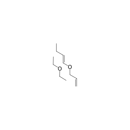 C=CCO/C=C/CC.CCOCC